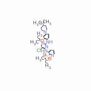 CC(C)Oc1cc(N2CCC(N(C)C)CC2)ccc1Nc1ncc(Cl)c(Nc2cccnc2S(=O)(=O)C(C)C)n1